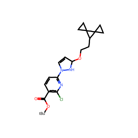 CC(C)(C)OC(=O)c1ccc(N2C=CC(OCCC3C4(CC4)C34CC4)N2)nc1Cl